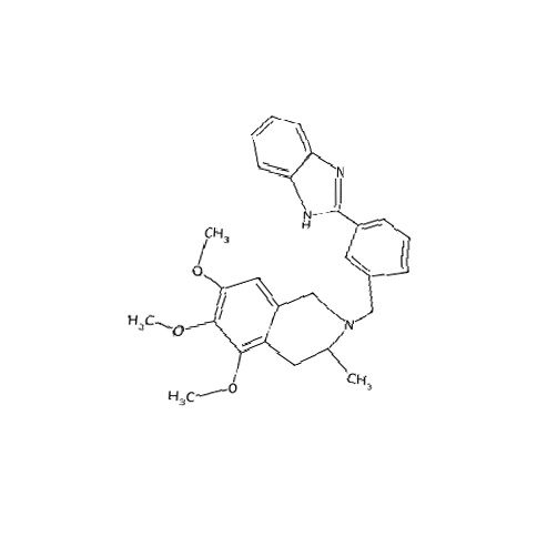 COc1cc2c(c(OC)c1OC)CC(C)N(Cc1cccc(-c3nc4ccccc4[nH]3)c1)C2